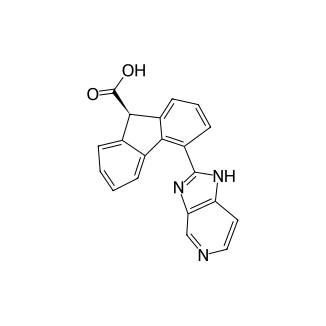 O=C(O)[C@@H]1c2ccccc2-c2c(-c3nc4cnccc4[nH]3)cccc21